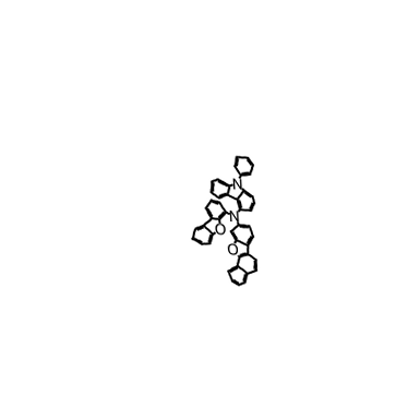 c1ccc(-n2c3ccccc3c3c(N(c4ccc5c(c4)oc4c6ccccc6ccc54)c4cccc5c4oc4ccccc45)cccc32)cc1